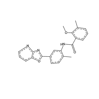 COc1c(C)cccc1C(=O)Nc1cc(-c2nc3ncccc3o2)ccc1C